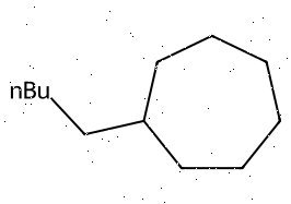 CC[CH]CCC1CCCCCC1